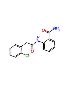 NC(=O)c1ccccc1NC(=O)Cc1ccccc1Cl